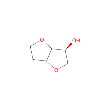 O[C@H]1COC2CCOC21